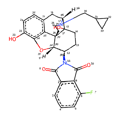 O=C1c2cccc(F)c2C(=O)N1[C@@H]1CCC2(O)[C@H]3Cc4ccc(O)c5c4[C@@]2(CCN3CC2CC2)[C@H]1O5